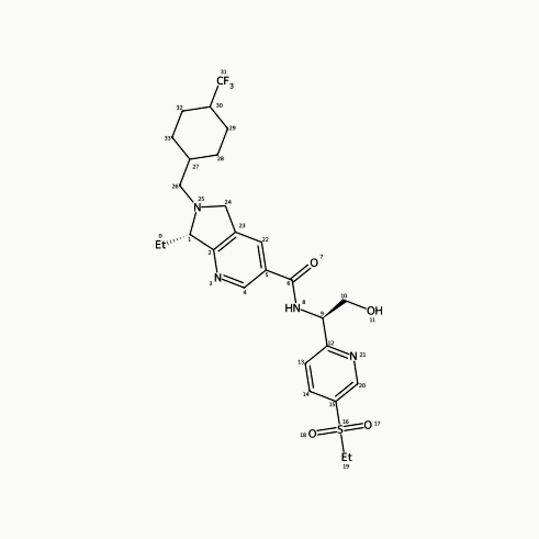 CC[C@H]1c2ncc(C(=O)N[C@@H](CO)c3ccc(S(=O)(=O)CC)cn3)cc2CN1CC1CCC(C(F)(F)F)CC1